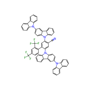 N#Cc1cc(-n2c3ccccc3c3cc(-n4c5ccccc5c5ccccc54)ccc32)c(-c2ccc(C(F)(F)F)cc2C(F)(F)F)cc1-n1c2ccccc2c2cc(-n3c4ccccc4c4ccccc43)ccc21